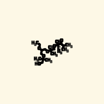 CCOC(COC(C)(C)CO)COC(C)(C)COC(C)(C)C(=O)C(C)C